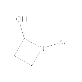 CC(=O)N1CCC1O